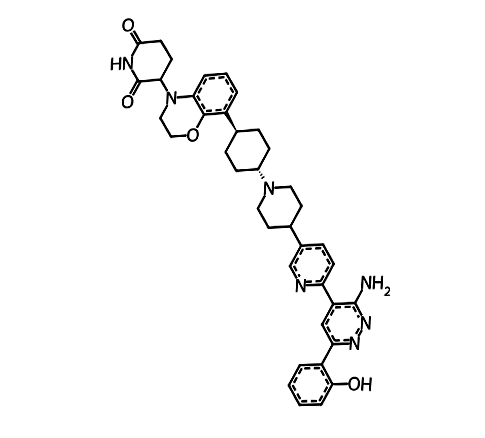 Nc1nnc(-c2ccccc2O)cc1-c1ccc(C2CCN([C@H]3CC[C@H](c4cccc5c4OCCN5C4CCC(=O)NC4=O)CC3)CC2)cn1